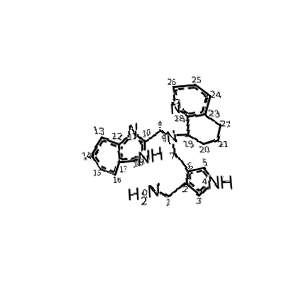 NCc1c[nH]cc1CN(Cc1nc2ccccc2[nH]1)C1CCCc2cccnc21